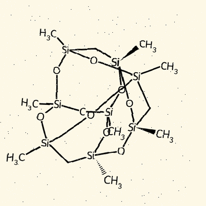 C[Si]12C[Si]3(C)O[Si@]4(C)C[Si](C)(O1)O[Si]1(C)C[Si@@](C)(O4)O[Si@@](C)(C[Si](C)(O2)O1)O3